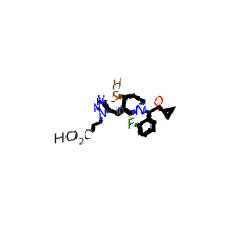 O=C(O)CCCn1nncc1/C=C1/CN(C(C(=O)C2CC2)c2ccccc2F)CCC1S